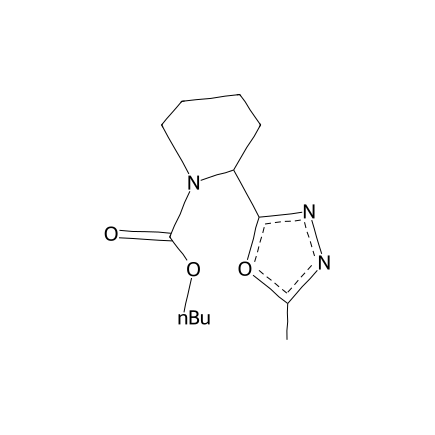 CCCCOC(=O)N1CCCCC1c1nnc(C)o1